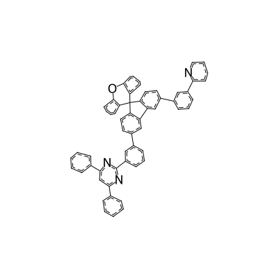 c1ccc(-c2cc(-c3ccccc3)nc(-c3cccc(-c4ccc5c(c4)-c4cc(-c6cccc(-c7ccccn7)c6)ccc4C54c5ccccc5Oc5ccccc54)c3)n2)cc1